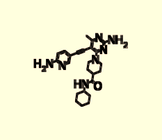 Cc1nc(N)nc(N2CCC(C(=O)NC3CCCCC3)CC2)c1C#Cc1ccc(N)nc1